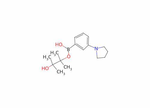 CC(C)(O)C(C)(C)OB(O)c1cccc(N2CCCC2)c1